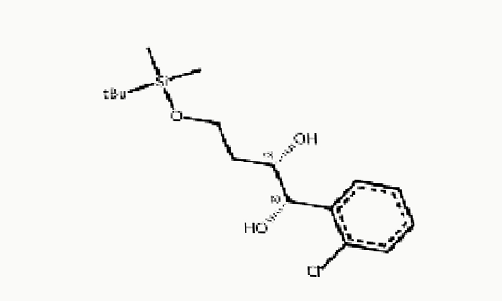 CC(C)(C)[Si](C)(C)OCC[C@H](O)[C@@H](O)c1ccccc1Cl